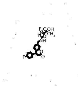 C[C@](O)(c1nnc(NCc2ccc3c(-c4ccc(F)cc4)cc(=O)oc3c2)o1)C(F)(F)F